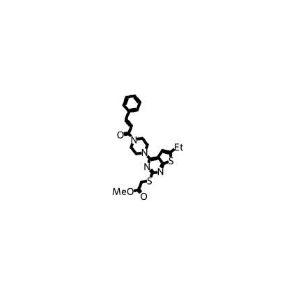 CCc1cc2c(N3CCN(C(=O)/C=C/c4ccccc4)CC3)nc(SCC(=O)OC)nc2s1